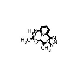 CC(=O)OC[C@@H](C)n1nnnc1-c1cccc(N)n1